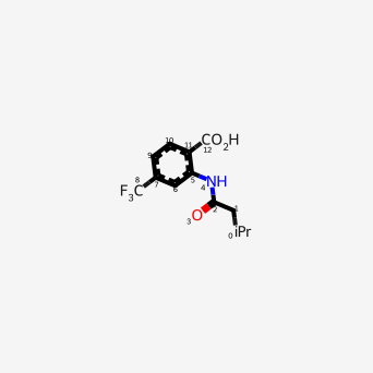 CC(C)CC(=O)Nc1cc(C(F)(F)F)ccc1C(=O)O